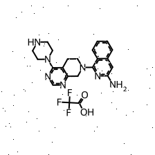 Nc1cc2ccccc2c(N2CCc3c(ncnc3N3CCNCC3)C2)n1.O=C(O)C(F)(F)F